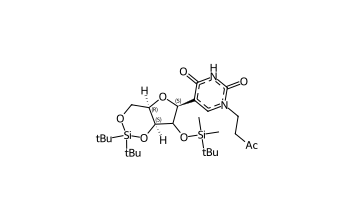 CC(=O)CCn1cc([C@@H]2O[C@@H]3CO[Si](C(C)(C)C)(C(C)(C)C)O[C@@H]3C2O[Si](C)(C)C(C)(C)C)c(=O)[nH]c1=O